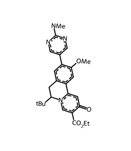 CCOC(=O)c1cn2c(cc1=O)-c1cc(OC)c(-c3cnc(NC)nc3)cc1CC2C(C)(C)C